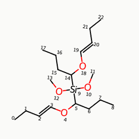 CCC=COC(CCC)[Si](OC)(OC)C(CCC)OC=CCC